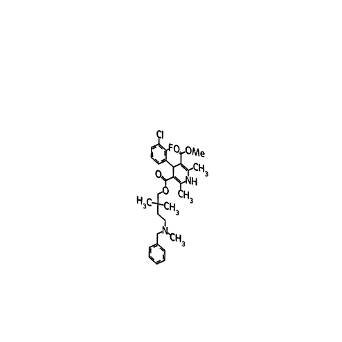 COC(=O)C1=C(C)NC(C)=C(C(=O)OCC(C)(C)CCN(C)Cc2ccccc2)C1c1cccc(Cl)c1F